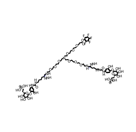 N=N/C(=C\NCCOCCOCCOCCN(CCOCCOCCOCCN/C=C(/CCCCNC(=O)Nc1ccc(O[C@H]2O[C@H](CCP(=O)(O)O)[C@@H](O)[C@H](O)[C@@H]2O)c(O)c1)N=N)CCOCCOCCOCCC(=O)Oc1c(F)c(F)c(F)c(F)c1F)CCCCNC(=O)Nc1ccc(O[C@H]2O[C@H](CCP(=O)(O)O)[C@@H](O)[C@H](O)[C@@H]2O)c(O)c1